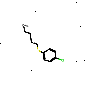 CC(=O)OCCCCSc1ccc(Cl)cc1